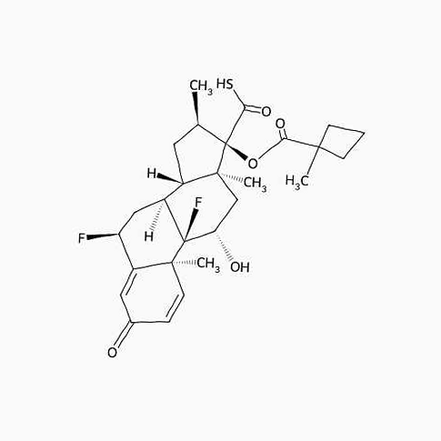 C[C@@H]1C[C@H]2[C@@H]3C[C@H](F)C4=CC(=O)C=C[C@]4(C)[C@@]3(F)[C@@H](O)C[C@]2(C)[C@@]1(OC(=O)C1(C)CCC1)C(=O)S